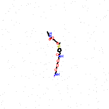 CC#CCNC(=O)OCCCCOC(C)SSc1ccc(CC(=O)NCCOCCOCCOCCNI)cc1